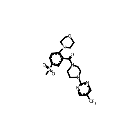 CS(=O)(=O)c1ccc(N2CCOCC2)c(C(=O)N2CCN(c3ncc(C(F)(F)F)cn3)CC2)c1